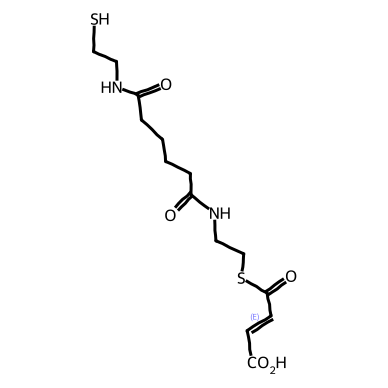 O=C(O)/C=C/C(=O)SCCNC(=O)CCCCC(=O)NCCS